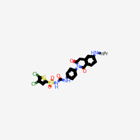 CCCNc1ccc2c(c1)CC(=O)N(c1ccc(NC(=O)NS(=O)(=O)c3cc(Cl)c(Cl)s3)cc1)C2=O